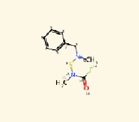 CN(Cc1ccccc1)SN(C)C(=O)F